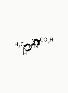 C[C@H]1CN(c2ncc(C(=O)O)cn2)CCN1